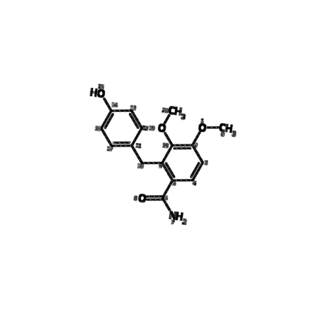 COc1ccc(C(N)=O)c(Cc2ccc(O)cc2)c1OC